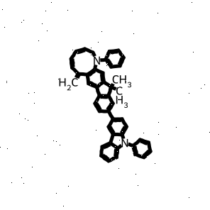 C=C1/C=C\C=C/CN(c2ccccc2)c2cc3c(cc21)-c1ccc(-c2ccc4c(c2)c2ccccc2n4-c2ccccc2)cc1C3(C)C